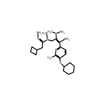 Cc1nc(/C(N)=C(\CN(N)/C(CC2CCC2)=N\N)N(C)N)ccc1OC1CCCCC1